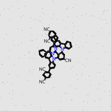 N#Cc1ccc(-c2ccc3c(c2)c2ccccc2n3-c2cc(C#N)cc(-n3c4ccccc4c4cc(-c5ccc(C#N)cc5C#N)ccc43)c2-c2nc(-c3ccccc3)cc(-c3ccccc3)n2)c(C#N)c1